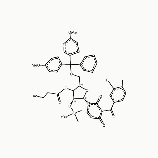 COc1ccc(C(OC[C@H]2O[C@@H](n3ccc(=O)n(C(=O)c4ccc(C)c(F)c4)c3=O)[C@@H](O[Si](C)(C)C(C)(C)C)C2OC(=O)CCC(C)=O)(c2ccccc2)c2ccc(OC)cc2)cc1